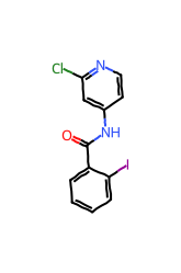 O=C(Nc1ccnc(Cl)c1)c1ccccc1I